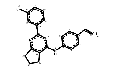 C=Cc1ccc(Nc2nc(-c3cccc(Cl)c3)nc3c2CCC3)cc1